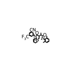 Cc1cccc(C)c1N(C)C(=O)C(C)C(CN1CCCCC1)C(=O)Nc1cc(C#N)cc(C(F)(F)F)c1